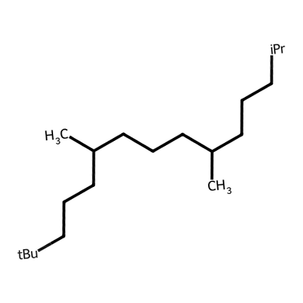 CC(C)CCCC(C)CCCC(C)CCCC(C)(C)C